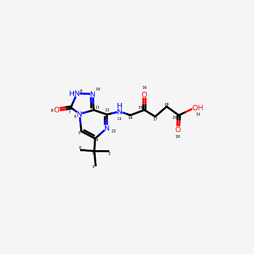 CC(C)(C)c1cn2c(=O)[nH]nc2c(NCC(=O)CCC(=O)O)n1